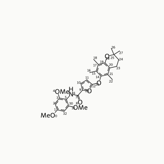 COc1cc(OC)c(NC(=O)c2ccc(Oc3c(C)c(C)c4c(c3C)CCC(C)(C)O4)o2)c(OC)c1